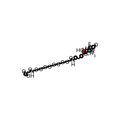 C[C@]12C[C@@H]3O[C@]45C=CC(=O)C=C4[C@@H](F)C[C@@H]([C@@H]1C[C@H]1O[C@@H](c4ccc(Cc6cccc(NC(=O)CCOCCOCCOCCOCCOCCOCCOCCOCCNC(=O)CCN7C(=O)C=CC7=O)c6)cc4)O[C@]12C(=O)CO)[C@]35F